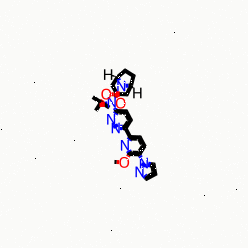 COc1nc(-c2ccc(N(C)C3C[C@H]4CC[C@@H](C3)N4C(=O)OC(C)(C)C)nn2)ccc1-n1cccn1